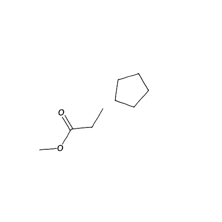 C1CCCC1.CCC(=O)OC